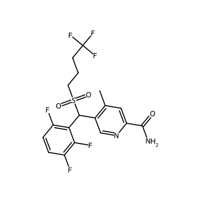 Cc1cc(C(N)=O)ncc1C(c1c(F)ccc(F)c1F)S(=O)(=O)CCCC(F)(F)F